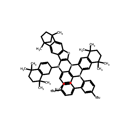 Cc1cc2c3c(c1)N(C1C=CC4=C(C1)C(C)(C)CCC4(C)C)c1c(oc4cc5c(cc14)C1(C)CCC5(C)C1)B3c1cc3c(cc1N2c1ccc(C(C)(C)C)cc1-c1ccc(C(C)(C)C)cc1)C(C)(C)CCC3(C)C